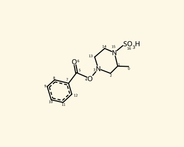 CC1CN(OC(=O)c2ccccc2)CCN1S(=O)(=O)O